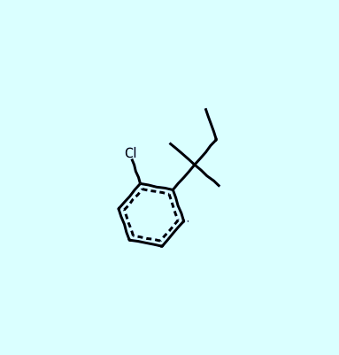 CCC(C)(C)c1[c]cccc1Cl